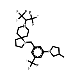 CC1CCN(c2cc(CN3CCCC34CCN(C(C(F)(F)F)C(F)(F)F)CC4)cc(C(F)(F)F)c2)C1